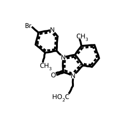 Cc1cc(Br)ncc1-n1c(=O)n(CC(=O)O)c2cccc(C)c21